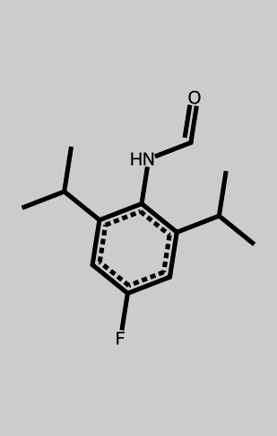 CC(C)c1cc(F)cc(C(C)C)c1NC=O